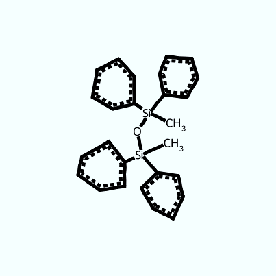 C[Si](O[Si](C)(c1ccccc1)c1ccccc1)(c1ccccc1)c1ccccc1